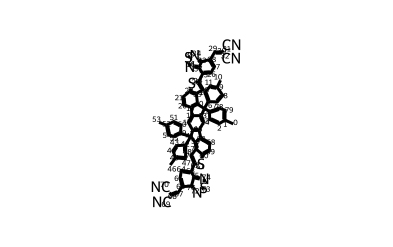 Cc1ccc(C2(c3ccc(C)cc3)c3cc4c(cc3-c3ccc5sc(-c6ccc(C=C(C#N)C#N)c7nsnc67)cc5c32)C(c2ccc(C)cc2)(c2ccc(C)cc2)c2c-4ccc3sc(-c4ccc(C=C(C#N)C#N)c5nsnc45)cc23)cc1